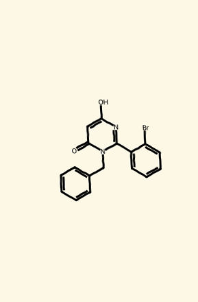 O=c1cc(O)nc(-c2ccccc2Br)n1Cc1ccccc1